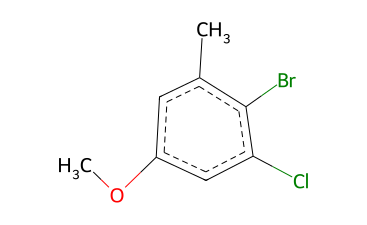 COc1cc(C)c(Br)c(Cl)c1